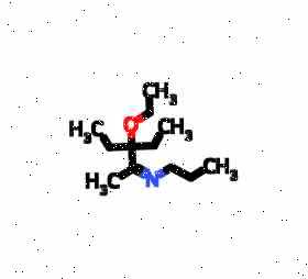 CCCN=C(C)C(CC)(CC)OCC